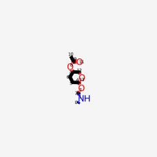 CNCOC1CCC(OC(C)=O)CO1